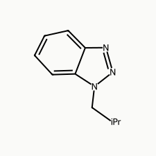 CC(C)Cn1nnc2ccccc21